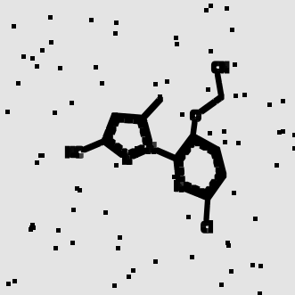 Cc1cc(C#N)nn1-c1nc(Cl)ccc1OCC#N